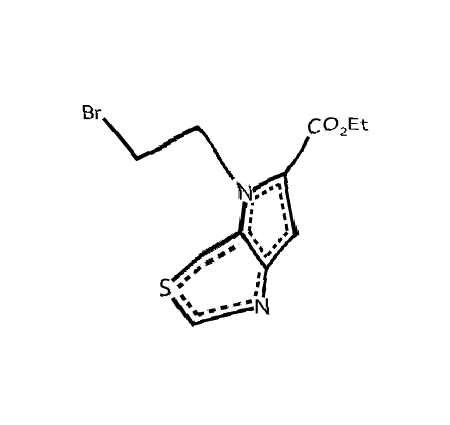 CCOC(=O)c1cc2ncsc2n1CCBr